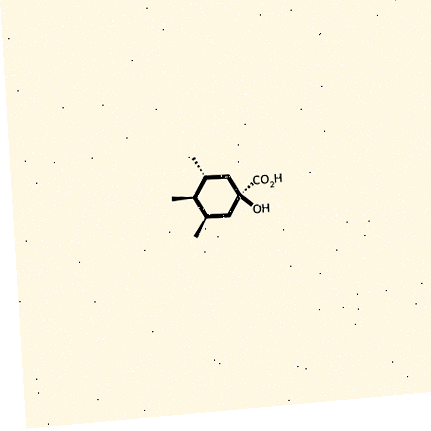 C[C@@H]1C[C@](O)(C(=O)O)C[C@@H](C)[C@H]1C